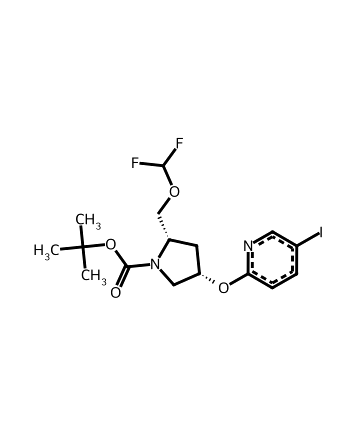 CC(C)(C)OC(=O)N1C[C@@H](Oc2ccc(I)cn2)C[C@H]1COC(F)F